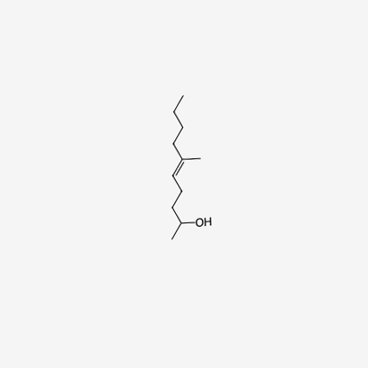 CCCC/C(C)=C/CCC(C)O